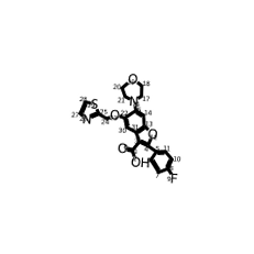 O=C(O)c1c(-c2ccc(F)cc2)oc2cc(N3CCOCC3)c(OCc3nccs3)cc12